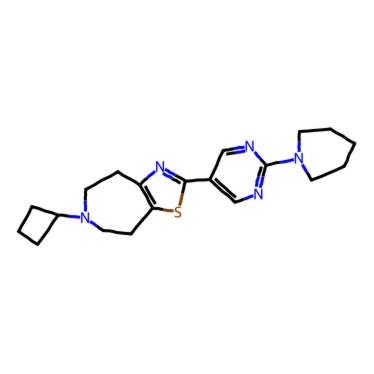 c1nc(N2CCCCC2)ncc1-c1nc2c(s1)CCN(C1CCC1)CC2